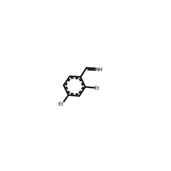 CCc1ccc(C=N)c(CC)c1